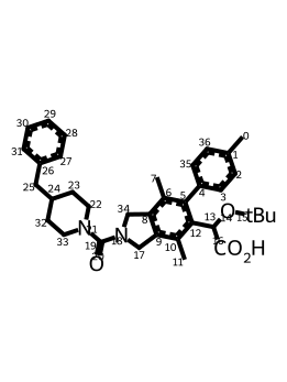 Cc1ccc(-c2c(C)c3c(c(C)c2C(OC(C)(C)C)C(=O)O)CN(C(=O)N2CCC(Cc4ccccc4)CC2)C3)cc1